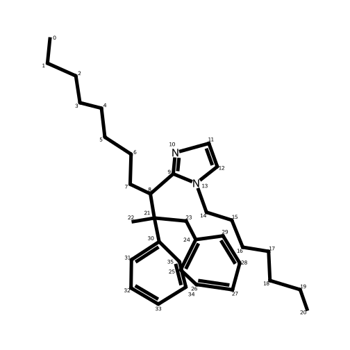 CCCCCCCCC(c1nccn1CCCCCCC)C(C)(Cc1ccccc1)c1ccccc1